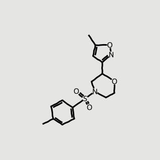 Cc1ccc(S(=O)(=O)N2CCOC(c3cc(C)on3)C2)cc1